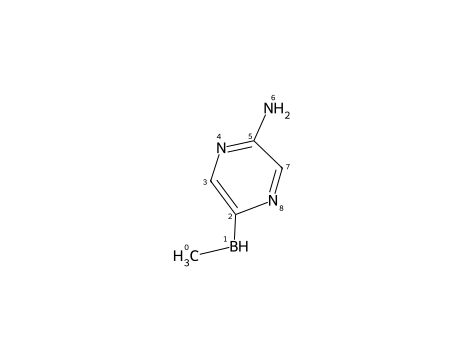 CBc1cnc(N)cn1